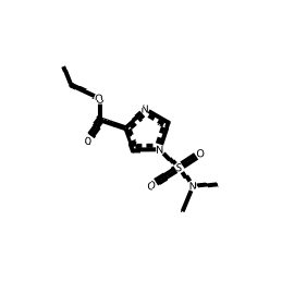 CCOC(=O)c1cn(S(=O)(=O)N(C)C)cn1